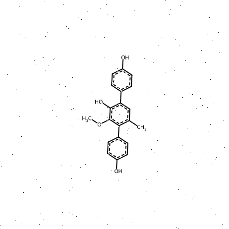 COc1c(O)c(-c2ccc(O)cc2)cc(C)c1-c1ccc(O)cc1